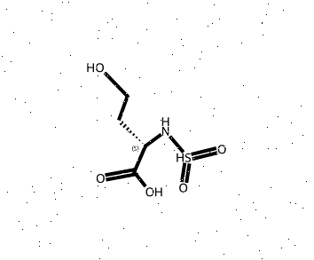 O=C(O)[C@H](CCO)N[SH](=O)=O